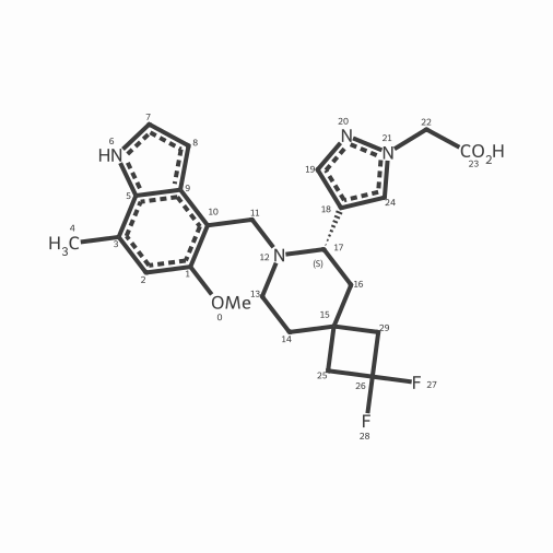 COc1cc(C)c2[nH]ccc2c1CN1CCC2(C[C@H]1c1cnn(CC(=O)O)c1)CC(F)(F)C2